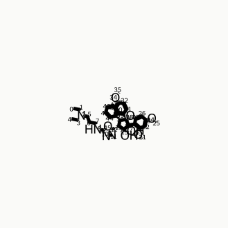 CCN(CC)CCCNc1nnc([C@H]2[C@@H](O)[C@@]3(O)c4c(OC)cc(OC)cc4O[C@@]3(c3ccc(OC)cc3)[C@@H]2c2ccccc2)o1